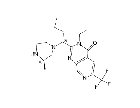 CCC[C@H](c1nc2cnc(C(F)(F)F)cc2c(=O)n1CC)N1CCN[C@H](C)C1